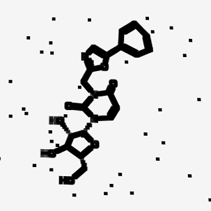 O=c1ccn([C@@H]2O[C@H](CO)C(O)[C@@H]2O)c(=O)n1Cc1ncc(-c2ccccc2)o1